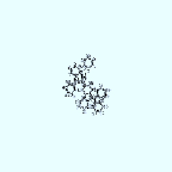 c1ccc(-c2cccc3c2nc(-c2ccc([N+](c4ccccc4)(c4ccccc4)c4ccccc4)cc2)n3-c2ccccc2)cc1